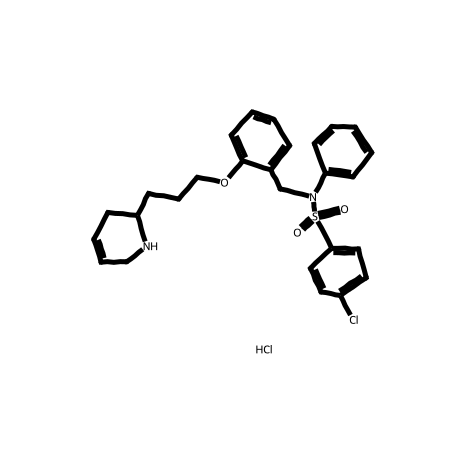 Cl.O=S(=O)(c1ccc(Cl)cc1)N(Cc1ccccc1OCCCC1CC=CCN1)c1ccccc1